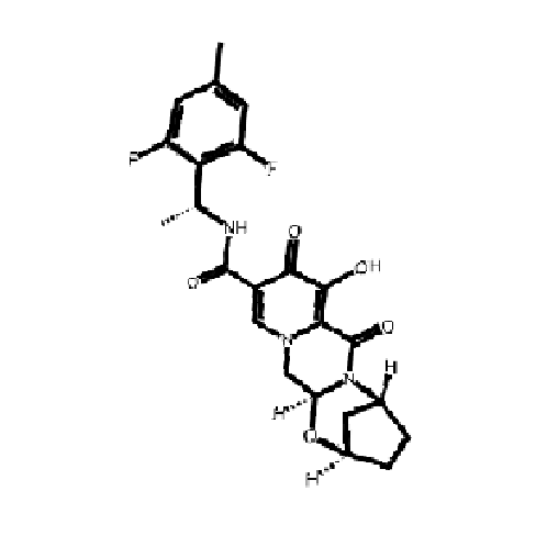 Cc1cc(F)c([C@@H](C)NC(=O)c2cn3c(c(O)c2=O)C(=O)N2[C@@H]4CC[C@H](C4)O[C@H]2C3)c(F)c1